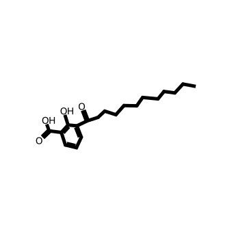 CCCCCCCCCCCC(=O)c1cccc(C(=O)O)c1O